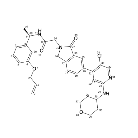 C=CCOc1cccc([C@@H](C)NC(=O)CN2Cc3ccc(-c4nc(NC5CCOCC5)ncc4Cl)cc3C2=O)c1